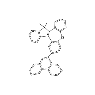 CC1(C)C2=C(c3cc(-c4cc5ccccc5c5ccccc45)ccc3Oc3ccccc32)c2ccccc21